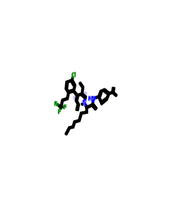 C=C/C=C(\C(=C/N(C)C(CCCCCCC)C(=C)Nc1ccc(C(=C)C)cc1)CC)c1cc(Cl)ccc1CCC(F)(F)F